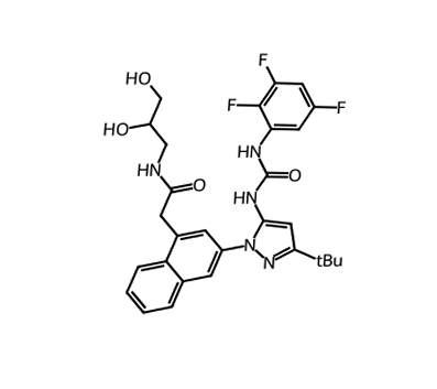 CC(C)(C)c1cc(NC(=O)Nc2cc(F)cc(F)c2F)n(-c2cc(CC(=O)NCC(O)CO)c3ccccc3c2)n1